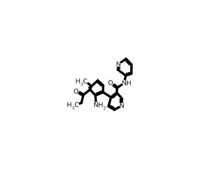 CCC(=O)c1c(C)ccc(-c2ccncc2C(=O)Nc2cccnc2)c1N